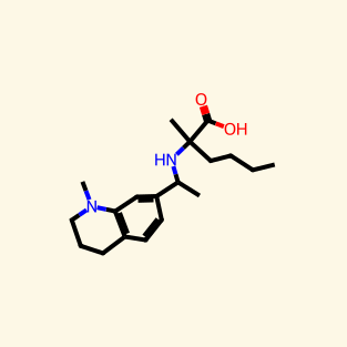 CCCCC(C)(NC(C)c1ccc2c(c1)N(C)CCC2)C(=O)O